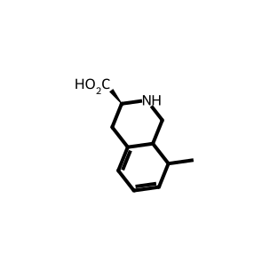 CC1C=CC=C2C[C@@H](C(=O)O)NCC21